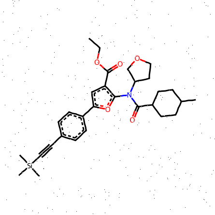 CCOC(=O)c1cc(-c2ccc(C#C[Si](C)(C)C)cc2)oc1N(C(=O)C1CCC(C)CC1)C1CCOC1